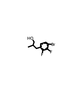 CC(CO)Cc1ccc(Br)c(F)c1F